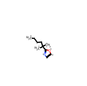 CCCCC(C)(C)c1ncco1